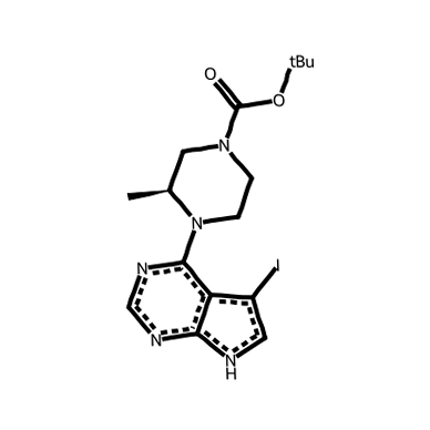 C[C@H]1CN(C(=O)OC(C)(C)C)CCN1c1ncnc2[nH]cc(I)c12